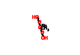 CC(C)C.OCCOCCOCCOCCO